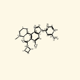 CN1CCCC(c2c(C(=O)N3CCC3)c(Cl)cc3c2ncn3-c2cc(N)ncn2)C1